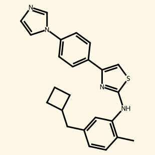 Cc1ccc(CC2CCC2)cc1Nc1nc(-c2ccc(-n3ccnc3)cc2)cs1